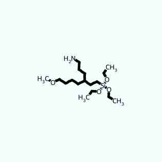 CCO[Si](CCC(CCCN)CCCCOC)(OCC)OCC